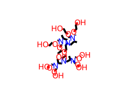 CC(CN(CCOCCN(CC(C)N(COCCO)COCCO)CC(C)N(COCCO)COCCO)CC(C)N(COO)COO)N(COO)COO